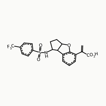 C=C(C(=O)O)c1cccc2c1OC1CCC(NS(=O)(=O)c3ccc(C(F)(F)F)cc3)C21